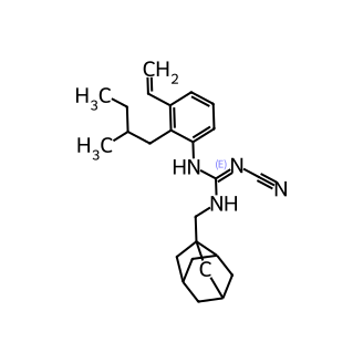 C=Cc1cccc(N/C(=N/C#N)NCC23CC4CC(CC2C4)C3)c1CC(C)CC